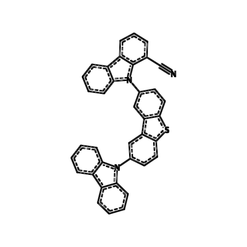 N#Cc1cccc2c3ccccc3n(-c3ccc4sc5ccc(-n6c7ccccc7c7ccccc76)cc5c4c3)c12